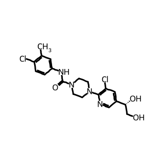 Cc1cc(NC(=O)N2CCN(c3ncc([C@H](O)CO)cc3Cl)CC2)ccc1Cl